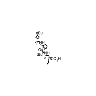 C=CCN(CC(=S)N[C@H](C(=O)N1CCC[C@@H]1CNC(=S)[C@H]1C[C@H](CCCC)C1)C(C)(C)C)C(=O)O